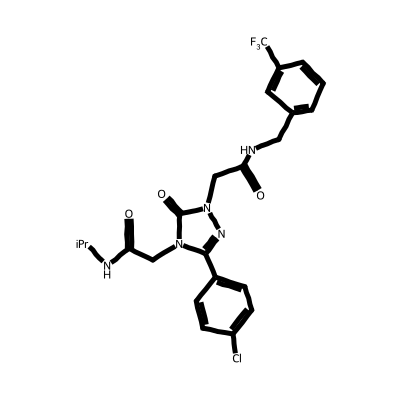 CC(C)NC(=O)Cn1c(-c2ccc(Cl)cc2)nn(CC(=O)NCc2cccc(C(F)(F)F)c2)c1=O